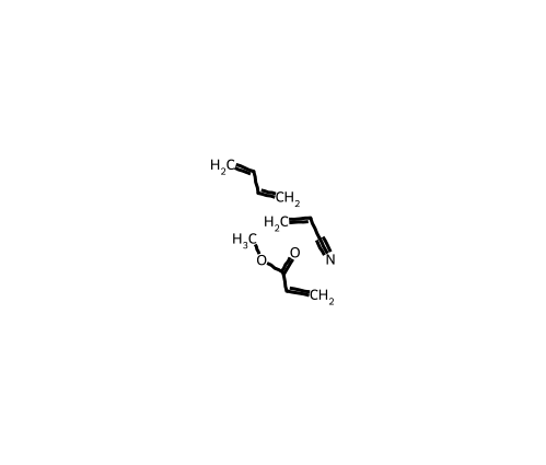 C=CC#N.C=CC(=O)OC.C=CC=C